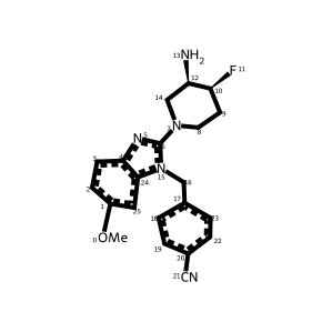 COc1ccc2nc(N3CC[C@H](F)[C@H](N)C3)n(Cc3ccc(C#N)cc3)c2c1